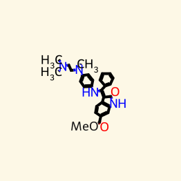 COC(=O)c1ccc2c(c1)NC(=O)C2=C(Nc1ccc(N(C)CCN(C)C)cc1)c1ccccc1